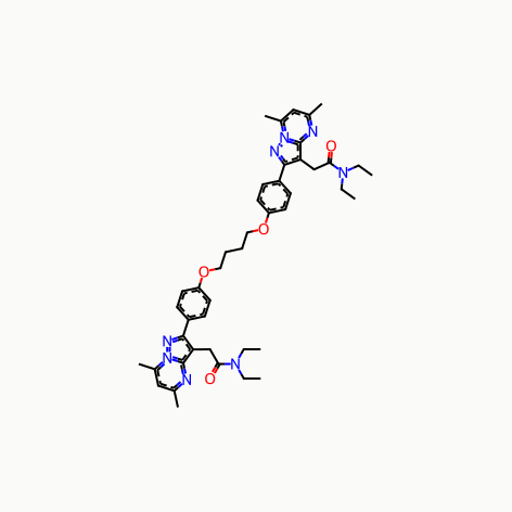 CCN(CC)C(=O)Cc1c(-c2ccc(OCCCCOc3ccc(-c4nn5c(C)cc(C)nc5c4CC(=O)N(CC)CC)cc3)cc2)nn2c(C)cc(C)nc12